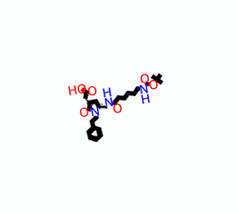 CC(C)(C)OC(=O)NCCCCCC(=O)NC[C@@H]1C[C@@H](CC(=O)O)C(=O)N1CCc1ccccc1